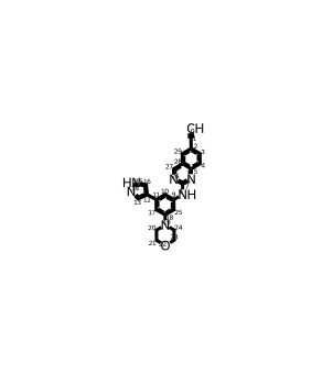 C#Cc1ccc2nc(Nc3cc(-c4cn[nH]c4)cc(N4CCOCC4)c3)ncc2c1